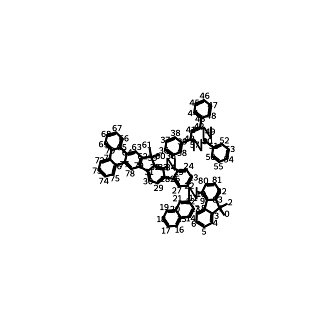 CC1(C)c2ccccc2-c2c(N(c3ccc4ccccc4c3)c3ccc4c(c3)c3ccc5c(c3n4-c3cccc(-c4cc(-c6ccccc6)nc(-c6ccccc6)n4)c3)C(C)(C)c3cc4c6ccccc6c6ccccc6c4cc3-5)cccc21